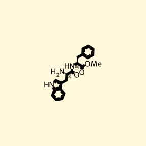 COC(=O)[C@H](Cc1ccccc1)NC(=O)[C@@H](N)Cc1c[nH]c2ccccc12